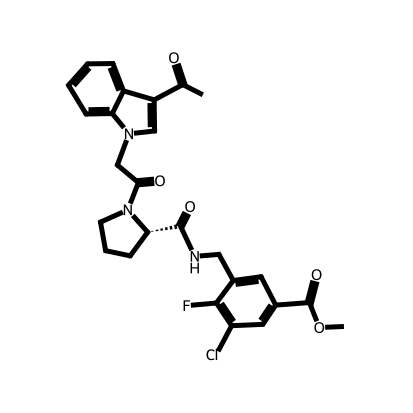 COC(=O)c1cc(Cl)c(F)c(CNC(=O)[C@@H]2CCCN2C(=O)Cn2cc(C(C)=O)c3ccccc32)c1